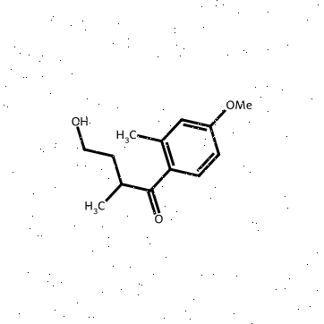 COc1ccc(C(=O)C(C)CCO)c(C)c1